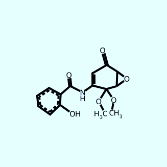 COC1(OC)C(NC(=O)c2ccccc2O)=CC(=O)C2OC21